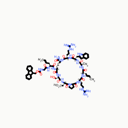 CC=CC[C@H](NC(=O)CNC(=O)OCC1c2ccccc2-c2ccccc21)C(=O)N[C@H]1CC[C@@H](C(N)=O)NC(=O)[C@H](CCCNC(=N)N)NC(=O)[C@H](Cc2cc3ccccc3[nH]2)NC(=O)[C@H](C)NC(=O)[C@H](CC=CC)NC(=O)[C@H](CCCNC(=N)N)NC(=O)C2CCCN2C(=O)[C@H](CC(=O)O)NC(=O)[C@H](CO)NC1=O